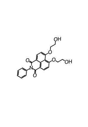 O=C1c2ccc(OCCO)c3c(OCCO)ccc(c23)C(=O)N1c1ccccc1